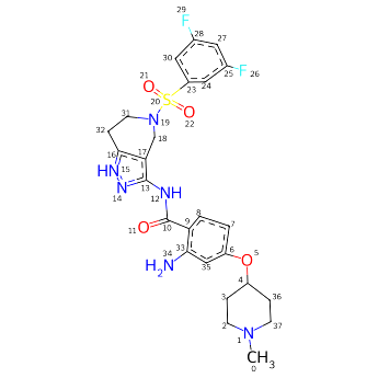 CN1CCC(Oc2ccc(C(=O)Nc3n[nH]c4c3CN(S(=O)(=O)c3cc(F)cc(F)c3)CC4)c(N)c2)CC1